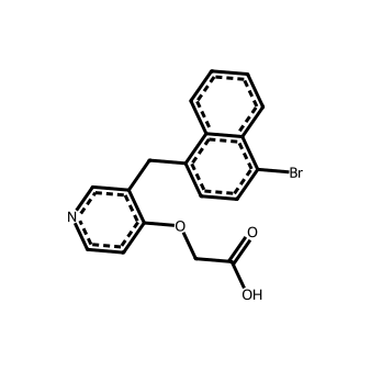 O=C(O)COc1ccncc1Cc1ccc(Br)c2ccccc12